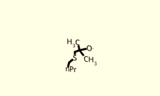 CCCCSCC(C)(C)[O]